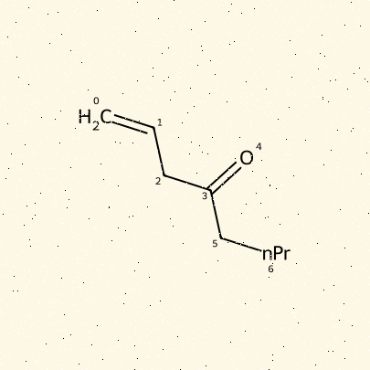 C=CCC(=O)CCCC